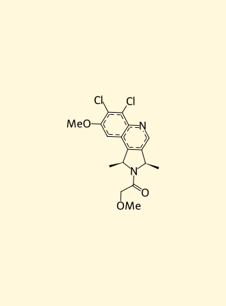 COCC(=O)N1[C@H](C)c2cnc3c(Cl)c(Cl)c(OC)cc3c2[C@@H]1C